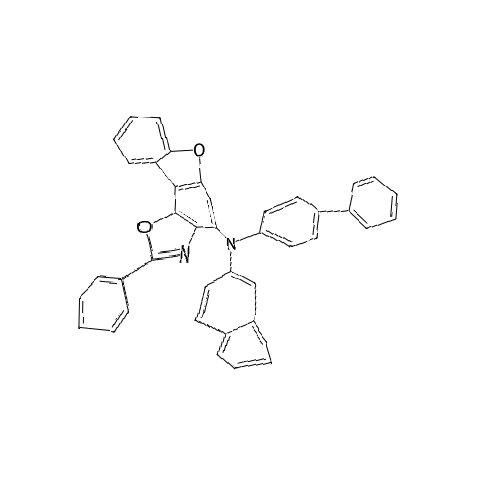 c1ccc(-c2ccc(N(c3ccc4ccccc4c3)c3cc4oc5ccccc5c4c4oc(-c5ccccc5)nc34)cc2)cc1